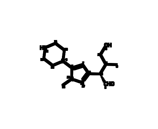 CC(CO)[C@H](C=O)c1cc(N2CCNCC2)n(C)n1